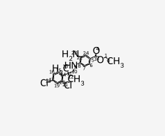 CCOC(=O)c1ccc(NCC(C)(C)c2ccc(Cl)cc2Cl)c(N)c1